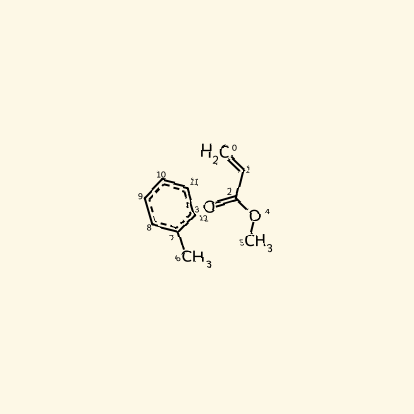 C=CC(=O)OC.Cc1ccccc1